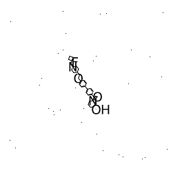 O=C(c1ccc(-c2ccc(OCC3CCN(CC4(F)CCC4)CC3)cc2)cc1)N1CCC[C@@H](O)C1